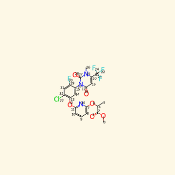 COC(=O)C(C)Oc1cccc(Oc2cc(-n3c(=O)cc(C(F)(F)F)n(C)c3=O)c(F)cc2Cl)n1